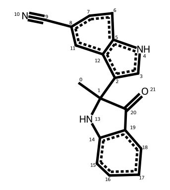 CC1(c2c[nH]c3ccc(C#N)cc23)Nc2ccccc2C1=O